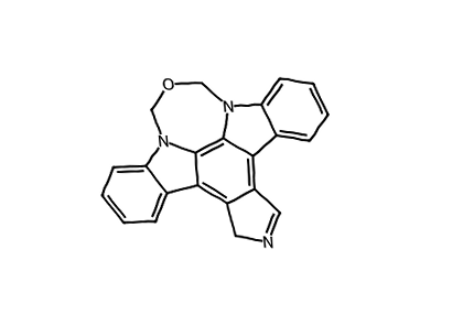 C1=NCc2c1c1c3ccccc3n3c1c1c2c2ccccc2n1COC3